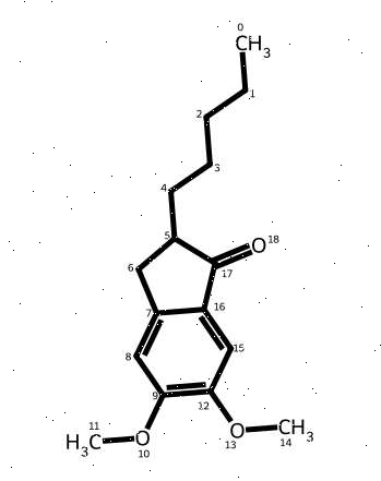 CCCCCC1Cc2cc(OC)c(OC)cc2C1=O